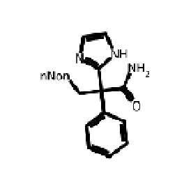 CCCCCCCCCCC(C(N)=O)(c1ccccc1)c1ncc[nH]1